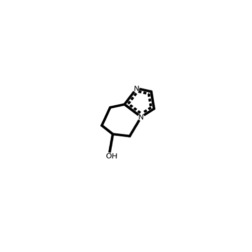 OC1CCc2nccn2C1